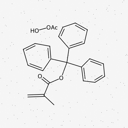 C=C(C)C(=O)OC(c1ccccc1)(c1ccccc1)c1ccccc1.CC(=O)OO